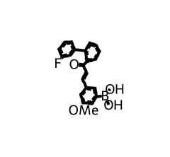 COc1ccc(C=CC(=O)c2ccccc2-c2cccc(F)c2)cc1B(O)O